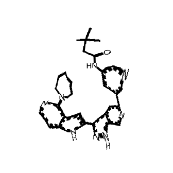 CC(C)(C)CC(=O)Nc1cncc(-c2cc3c(-c4cc5c(N6CCCCC6)nccc5[nH]4)n[nH]c3cn2)c1